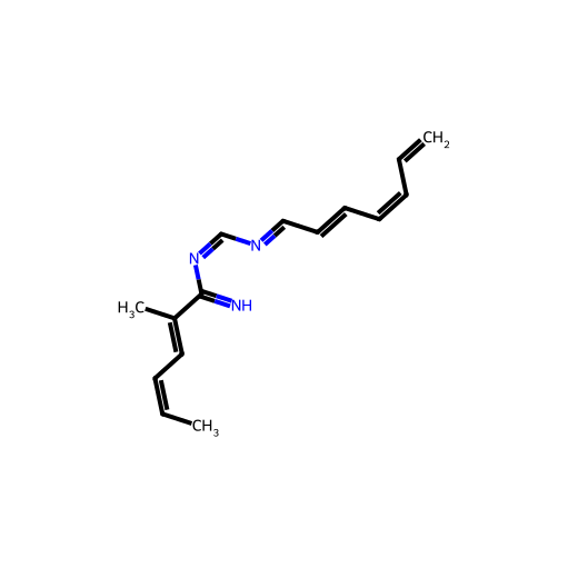 C=C\C=C/C=C/C=N/C=N\C(=N)/C(C)=C/C=C\C